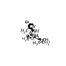 CC1C=C(Br)C=NC1C(=N)/N=C(\NCOCC[Si](C)(C)C)S(C)(=O)=O